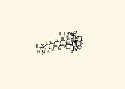 CCCCCCCCCCCCN(C(N)=O)C1CCCCC1N(CCCCCCCCCCCC)C(N)=O